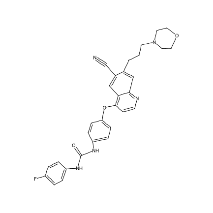 N#Cc1cc2c(Oc3ccc(NC(=O)Nc4ccc(F)cc4)cc3)ccnc2cc1CCCN1CCOCC1